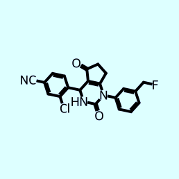 N#Cc1ccc(C2NC(=O)N(c3cccc(CF)c3)C3=C2C(=O)CC3)c(Cl)c1